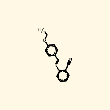 CCOc1ccc(C=Nc2ccccc2C#N)cc1